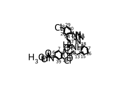 COC(=O)Nc1ccc(NC(=O)[C@H](Cc2ccccc2)NC(=O)C=Cc2cc(Cl)ccc2-n2cnnn2)c(Cl)c1